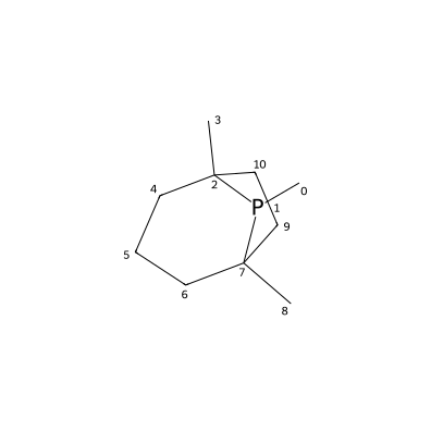 CP1C2(C)CCCC1(C)CC2